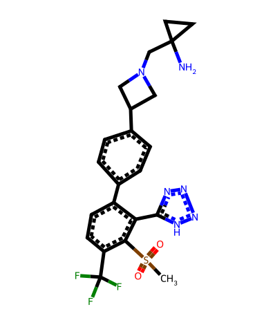 CS(=O)(=O)c1c(C(F)(F)F)ccc(-c2ccc(C3CN(CC4(N)CC4)C3)cc2)c1-c1nnn[nH]1